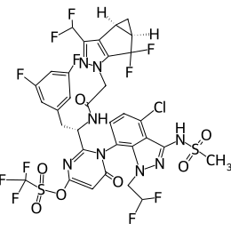 CS(=O)(=O)Nc1nn(CC(F)F)c2c(-n3c([C@H](Cc4cc(F)cc(F)c4)NC(=O)Cn4nc(C(F)F)c5c4C(F)(F)[C@@H]4C[C@H]54)nc(OS(=O)(=O)C(F)(F)F)cc3=O)ccc(Cl)c12